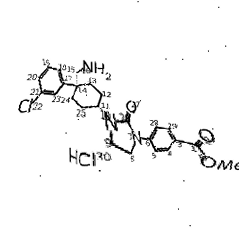 COC(=O)c1ccc(N2CCN([C@H]3CC[C@](CN)(c4cccc(Cl)c4)CC3)C2=O)cc1.Cl